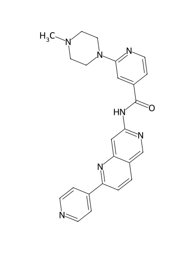 CN1CCN(c2cc(C(=O)Nc3cc4nc(-c5ccncc5)ccc4cn3)ccn2)CC1